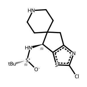 CC(C)(C)[S@@+]([O-])N[C@@H]1c2sc(Cl)nc2CC12CCNCC2